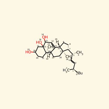 CCC(C)[C@@H](C)C=C[C@@H](C)[C@H]1CC[C@H]2C3=CC(O)C4(O)CC(O)CC[C@]4(C)[C@H]3CC[C@]12C